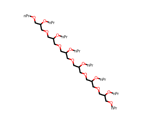 CCCOCC(COCC(COCC(COCC(COCC(COCC(COCCC)OCCC)OCCC)OCCC)OCCC)OCCC)OCCC